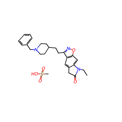 CCN1C(=O)Cc2cc3c(CCC4CCN(Cc5ccccc5)CC4)noc3cc21.CS(=O)(=O)O